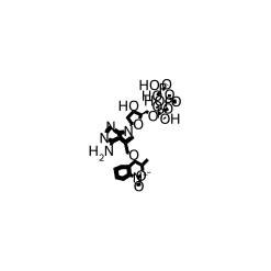 CC(C)[C@H](OCc1cn([C@H]2CC(O)[C@@H](COP(=O)(O)OP(=O)(O)OP(=O)(O)O)O2)c2ncnc(N)c12)c1ccccc1[N+](=O)[O-]